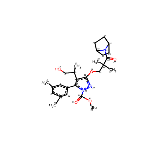 Cc1cc(C)cc(-c2c([C@H](C)CO)c(OCC(C)(C)C(=O)N3C4CCC3CC4)nn2C(=O)OC(C)(C)C)c1